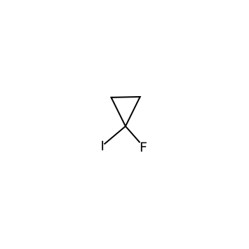 FC1(I)CC1